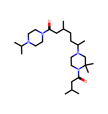 CC(C)CC(=O)N1CCN(C(C)CCC(C)CC(=O)N2CCN(C(C)C)CC2)CC1(C)C